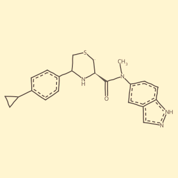 CN(C(=O)[C@@H]1[CH]SCC(c2ccc(C3CC3)cc2)N1)c1ccc2[nH]ncc2c1